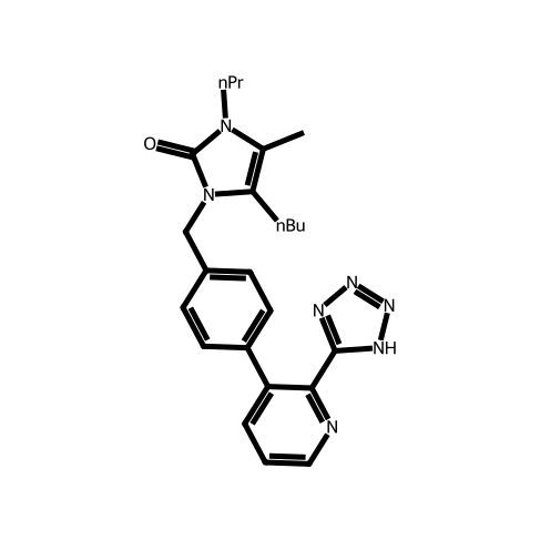 CCCCc1c(C)n(CCC)c(=O)n1Cc1ccc(-c2cccnc2-c2nnn[nH]2)cc1